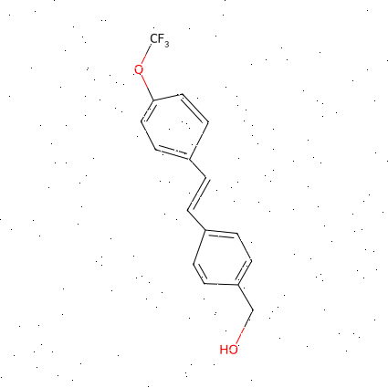 OCc1ccc(C=Cc2ccc(OC(F)(F)F)cc2)cc1